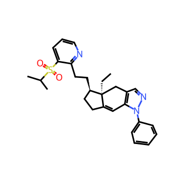 CC[C@]12Cc3cnn(-c4ccccc4)c3C=C1CC[C@H]2CCc1ncccc1S(=O)(=O)C(C)C